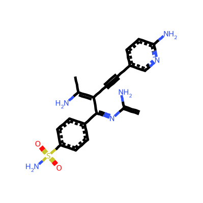 C=C(N)/N=C(\C(C#Cc1ccc(N)nc1)=C(\C)N)c1ccc(S(N)(=O)=O)cc1